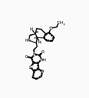 CCOc1cccc2c1CC[C@H]1CNC(CCn3c(=O)[nH]c4c(sc5cccnc54)c3=O)[C@@H]21